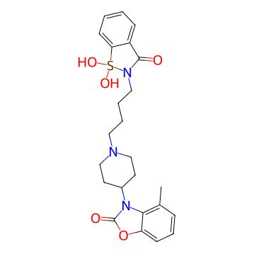 Cc1cccc2oc(=O)n(C3CCN(CCCCN4C(=O)c5ccccc5S4(O)O)CC3)c12